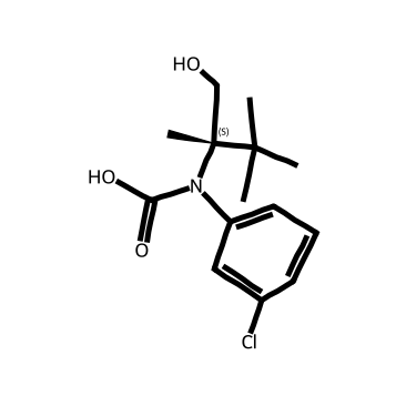 CC(C)(C)[C@@](C)(CO)N(C(=O)O)c1cccc(Cl)c1